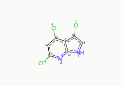 Clc1cc(Cl)c2c(Cl)c[nH]c2n1